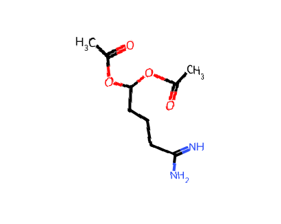 CC(=O)OC(CCCC(=N)N)OC(C)=O